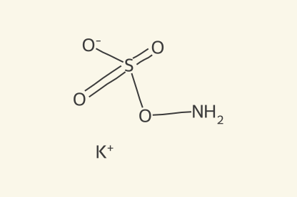 NOS(=O)(=O)[O-].[K+]